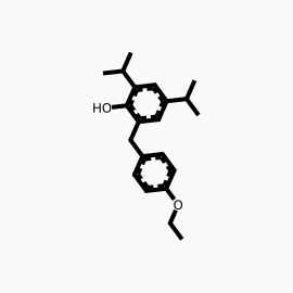 CCOc1ccc(Cc2cc(C(C)C)cc(C(C)C)c2O)cc1